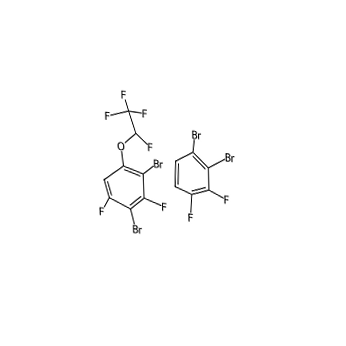 Fc1cc(OC(F)C(F)(F)F)c(Br)c(F)c1Br.Fc1ccc(Br)c(Br)c1F